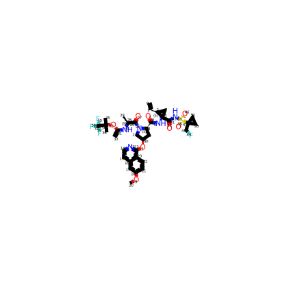 C=C[C@@H]1C[C@]1(NC(=O)[C@@H]1C[C@@H](Oc2nccc3cc(OC)ccc23)CN1C(=O)[C@H](C)NC(=C)OC(C)(C)C(F)(F)F)C(=O)NS(=O)(=O)C1(CF)CC1